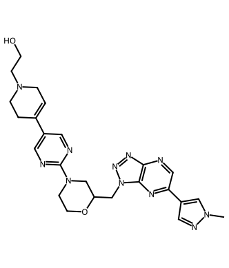 Cn1cc(-c2cnc3nnn(CC4CN(c5ncc(C6=CCN(CCO)CC6)cn5)CCO4)c3n2)cn1